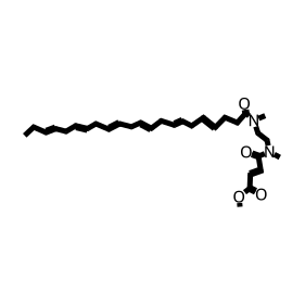 CCC=CCC=CCC=CCC=CCC=CCC=CCCC(=O)N(C)CCN(C)C(=O)C=CC(=O)OC